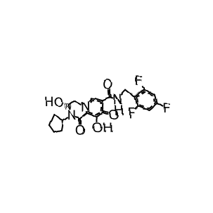 O=C(NCc1c(F)cc(F)cc1F)c1cn2c(c(O)c1=O)C(=O)N(C1CCCC1)[C@H](O)C2